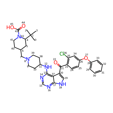 CC(C)(C)C1CC(CN2CCC(Nc3ncnc4[nH]cc(C(=O)c5ccc(Oc6ccccc6)cc5Cl)c34)CC2)CCN1C(=O)O